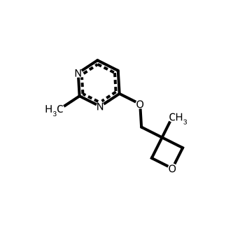 Cc1nccc(OCC2(C)COC2)n1